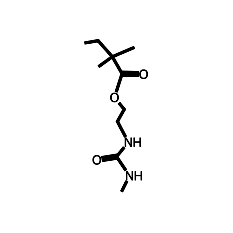 CCC(C)(C)C(=O)OCCNC(=O)NC